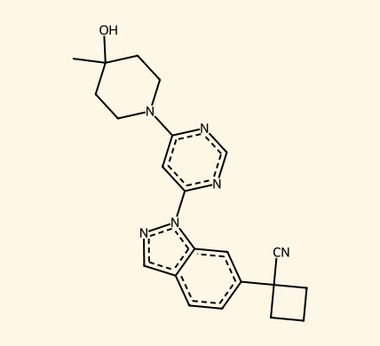 CC1(O)CCN(c2cc(-n3ncc4ccc(C5(C#N)CCC5)cc43)ncn2)CC1